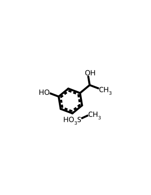 CC(O)c1cccc(O)c1.CS(=O)(=O)O